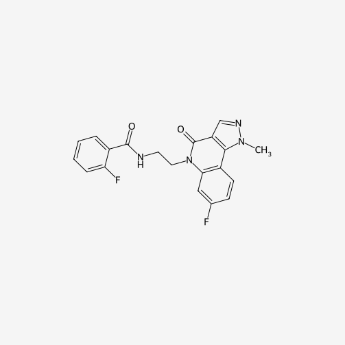 Cn1ncc2c(=O)n(CCNC(=O)c3ccccc3F)c3cc(F)ccc3c21